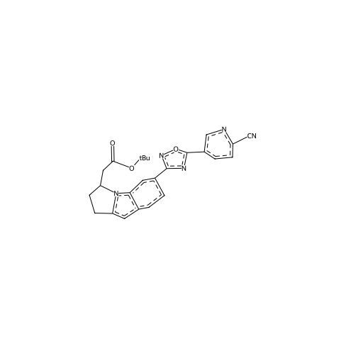 CC(C)(C)OC(=O)CC1CCc2cc3ccc(-c4noc(-c5ccc(C#N)nc5)n4)cc3n21